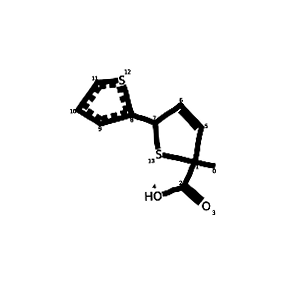 CC1(C(=O)O)C=CC(c2cccs2)S1